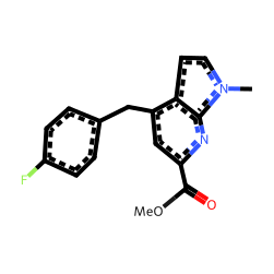 COC(=O)c1cc(Cc2ccc(F)cc2)c2ccn(C)c2n1